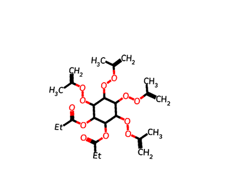 C=C(C)OOC1C(OOC(=C)C)C(OOC(=C)C)C(OC(=O)CC)C(OC(=O)CC)C1OOC(=C)C